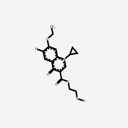 CCOCCOC(=O)c1cn(C2CC2)c2cc(OCC(F)(F)F)c(F)cc2c1=O